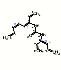 C=C/C=C\C=C(/C=C)NC(=O)N/C(C=C)=C/C=C